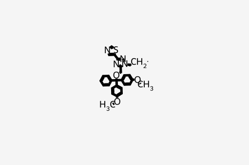 [CH2]Cn1nc(-c2cncs2)nc1COC(c1ccccc1)(c1ccc(OC)cc1)c1ccc(OC)cc1